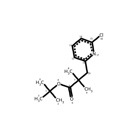 CC(C)(C)OC(=O)C(C)(C)Cc1cccc(Cl)n1